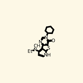 CCN(C)C1=C2c3ncn(C4CCCCC4)c(=O)c3SC2NC=C1